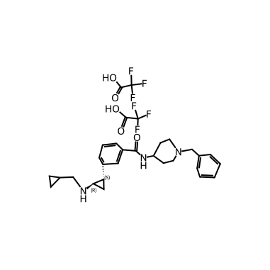 O=C(NC1CCN(Cc2ccccc2)CC1)c1cccc([C@@H]2C[C@H]2NCC2CC2)c1.O=C(O)C(F)(F)F.O=C(O)C(F)(F)F